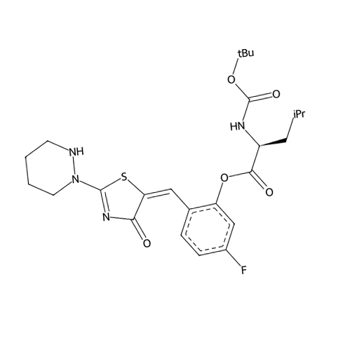 CC(C)C[C@H](NC(=O)OC(C)(C)C)C(=O)Oc1cc(F)ccc1C=C1SC(N2CCCCN2)=NC1=O